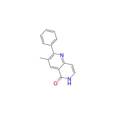 Cc1cc2c(=O)[nH]ccc2nc1-c1ccccc1